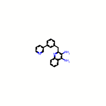 Nc1c(Cc2cccc(-c3cccnc3)c2)nc2ccccc2c1N